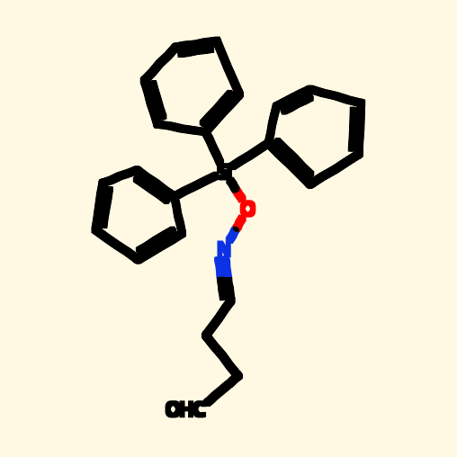 O=CCC/C=N/O[Si](c1ccccc1)(c1ccccc1)c1ccccc1